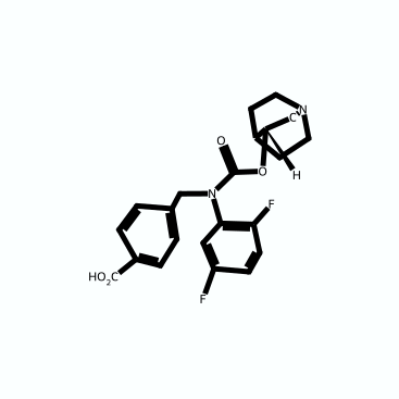 O=C(O)c1ccc(CN(C(=O)O[C@H]2CN3CCC2CC3)c2cc(F)ccc2F)cc1